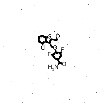 NC(=O)c1cc(F)c(OCc2c(C=O)sc3cccc(Cl)c23)c(F)c1